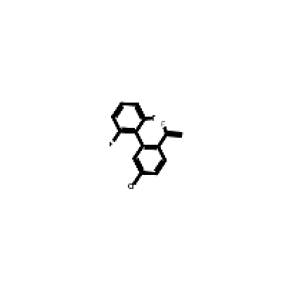 C=C(F)c1ccc(Cl)cc1-c1c(F)cccc1F